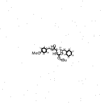 COc1ccc(CNC(=O)[C@H](COCc2ccccc2)NC(=O)OC(C)(C)C)cc1